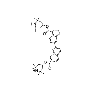 CC1(C)CC(OC(=O)c2ccc3ccc(-c4ccc5c(C(=O)OC6CC(C)(C)NC(C)(C)C6)cccc5c4)cc3c2)CC(C)(C)N1